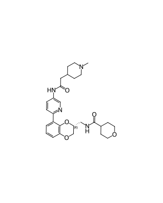 CN1CCC(CC(=O)Nc2ccc(-c3cccc4c3O[C@H](CNC(=O)C3CCOCC3)CO4)nc2)CC1